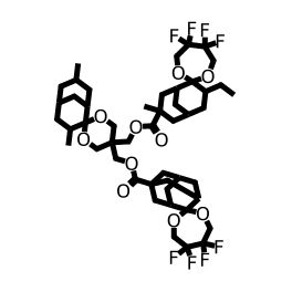 CCC1CC2CC(CC(C)(C(=O)OCC3(COC(=O)C45CC6CC(C4)C4(OCC(F)(F)C(F)(F)CO4)C(C6)C5)COC4(OC3)C(C)CC3CC(C)CC4C3)C2)C12OCC(F)(F)C(F)(F)CO2